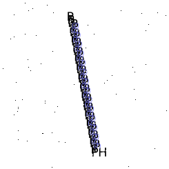 P#P=P\P=P/P=P\P=P/P=P\P=P/P=P\P=P/P=P\P=P/P=P\P=P/P=P\P=P/P=P\P=P/P=P\P=P/P=P\P=P/P=P\P=P/P=P\P=P/P=P\P=P/P=P\P=P/P=P